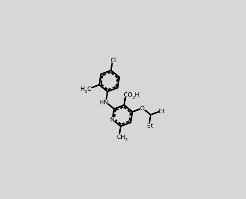 CCC(CC)Oc1cc(C)nc(Nc2ccc(Cl)cc2C)c1C(=O)O